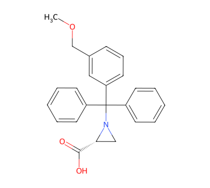 COCc1cccc(C(c2ccccc2)(c2ccccc2)N2C[C@@H]2C(=O)O)c1